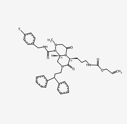 C=CCOC(=O)NCCC[C@H]1C(=O)N(CCC(c2ccccc2)c2ccccc2)C[C@H]2N1C(=O)CN(C)N2C(=O)NCc1ccc(F)cc1